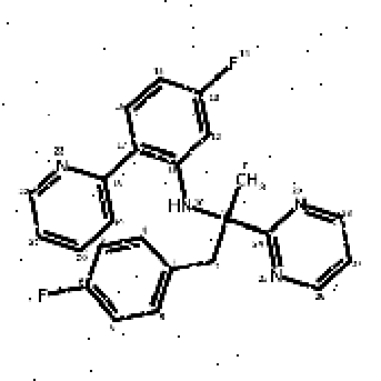 CC(Cc1ccc(F)cc1)(Nc1cc(F)ccc1-c1c[c]ccn1)c1ncccn1